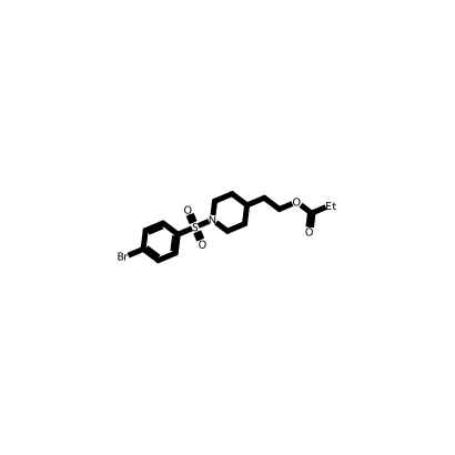 CCC(=O)OCCC1CCN(S(=O)(=O)c2ccc(Br)cc2)CC1